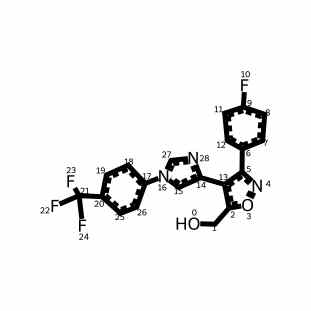 OCc1onc(-c2ccc(F)cc2)c1-c1cn(-c2ccc(C(F)(F)F)cc2)cn1